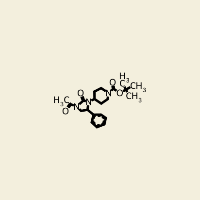 CC(=O)N1CC(c2ccccc2)N(C2CCN(C(=O)OC(C)(C)C)CC2)C1=O